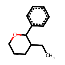 CCC1CCCOC1c1ccccc1